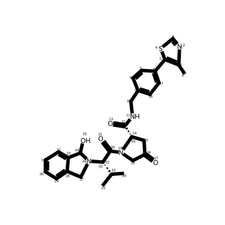 Cc1ncsc1-c1ccc(CNC(=O)[C@@H]2CC(=O)CN2C(=O)[C@H](C(C)C)N2Cc3ccccc3C2O)cc1